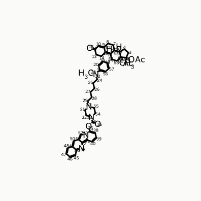 CC(=O)O[C@]1(C(C)=O)CC[C@H]2[C@@H]3CCC4=CC(=O)CCC4=C3[C@@H](c3ccc(N(C)CCCCCCN4CCN(C(=O)Oc5cccc6c7nc8ccccc8cc7cn56)CC4)cc3)C[C@@]21C